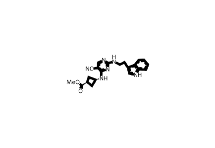 COC(=O)[C@H]1C[C@H](Nc2nc(NCCc3c[nH]c4ccccc34)ncc2C#N)C1